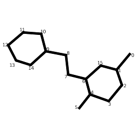 CC1CCC(C)C(CCC2CCCCC2)C1